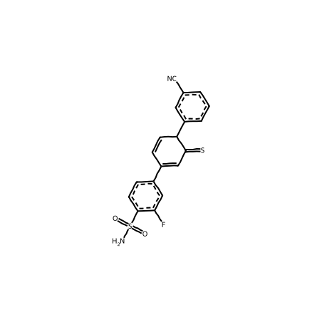 N#Cc1cccc(C2C=CC(c3ccc(S(N)(=O)=O)c(F)c3)=CC2=S)c1